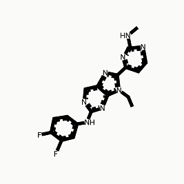 CCn1c(-c2ccnc(NC)n2)nc2cnc(Nc3ccc(F)c(F)c3)nc21